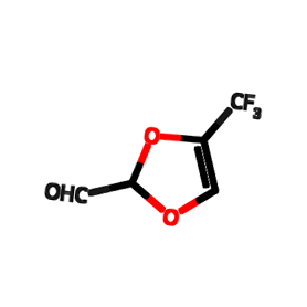 O=CC1OC=C(C(F)(F)F)O1